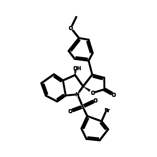 COc1ccc(C2=CC(=O)O[C@]23[C@@H](O)c2ccccc2N3S(=O)(=O)c2ccccc2Br)cc1